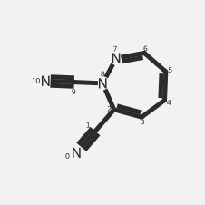 N#CC1=CC=CC=NN1C#N